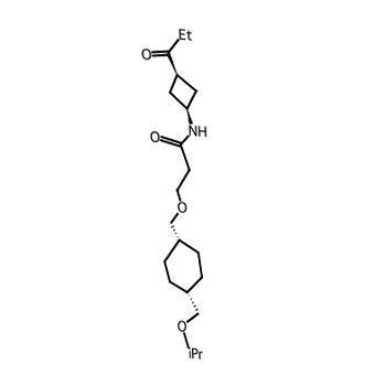 CCC(=O)[C@H]1C[C@@H](NC(=O)CCOC[C@H]2CC[C@@H](COC(C)C)CC2)C1